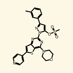 Cc1cccc(-c2cc(OS(C)(=O)=O)n(-c3nc(N4CCOCC4)c4sc(-c5ccncc5)cc4n3)n2)c1